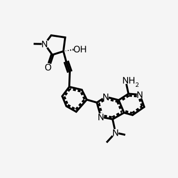 CN1CC[C@@](O)(C#Cc2cccc(-c3nc(N(C)C)c4ccnc(N)c4n3)c2)C1=O